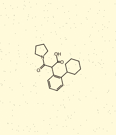 O=C(O)C(C(=O)N1CCCC1)c1ccc[c]c1C1CCCCC1